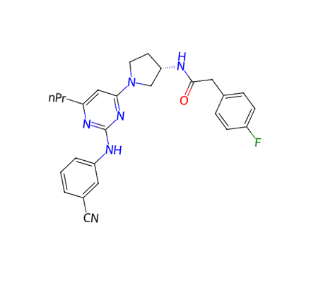 CCCc1cc(N2CC[C@H](NC(=O)Cc3ccc(F)cc3)C2)nc(Nc2cccc(C#N)c2)n1